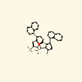 CC1=Cc2c(-c3cccc4ccccc34)ccc(C)c2[CH]1[Zr]([CH3])([CH3])(=[SiH2])[CH]1C([Si](C)(C)C)=Cc2c(-c3cccc4ccccc34)cccc21.Cl.Cl